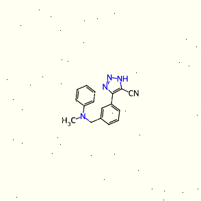 CN(Cc1cccc(-c2nn[nH]c2C#N)c1)c1ccccc1